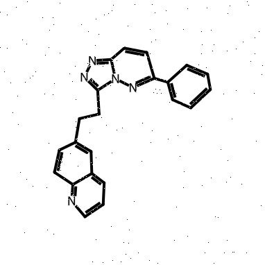 c1ccc(-c2ccc3nnc(CCc4ccc5ncccc5c4)n3n2)cc1